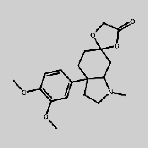 COc1ccc(C23CCN(C)C2CC2(CC3)OCC(=O)O2)cc1OC